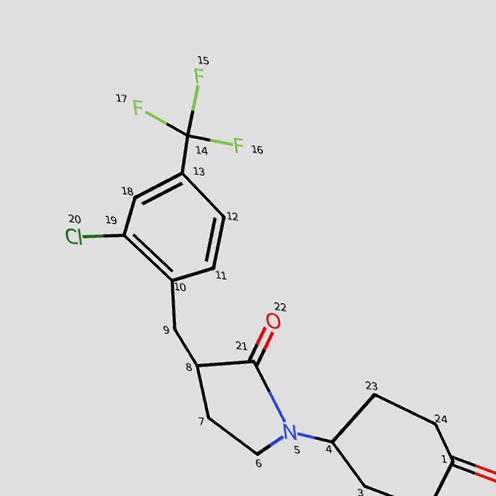 O=C1CCC(N2CCC(Cc3ccc(C(F)(F)F)cc3Cl)C2=O)CC1